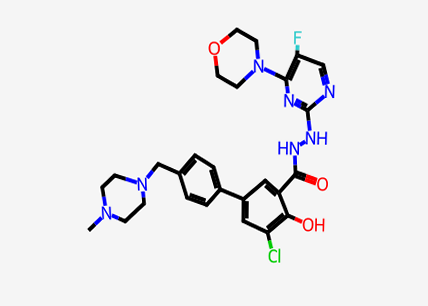 CN1CCN(Cc2ccc(-c3cc(Cl)c(O)c(C(=O)NNc4ncc(F)c(N5CCOCC5)n4)c3)cc2)CC1